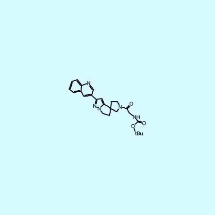 CC(C)(C)OC(=O)NCC(=O)N1CCC2(CCn3nc(-c4cnc5ccccc5c4)cc32)C1